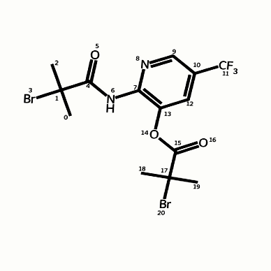 CC(C)(Br)C(=O)Nc1ncc(C(F)(F)F)cc1OC(=O)C(C)(C)Br